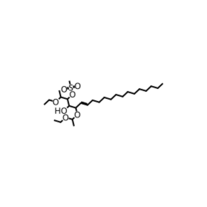 CCCCCCCCCCCCCC=CC(OC(C)OCC)C(O)C(OS(C)(=O)=O)C(C)OCC